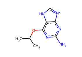 CC(C)Oc1nc(N)nc2c1NC=[N+]2